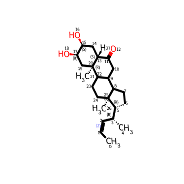 C/C=C\[C@@H](C)[C@H]1CCC2C3CC(=O)[C@H]4C[C@H](O)[C@H](O)C[C@]4(C)C3CC[C@@]21C